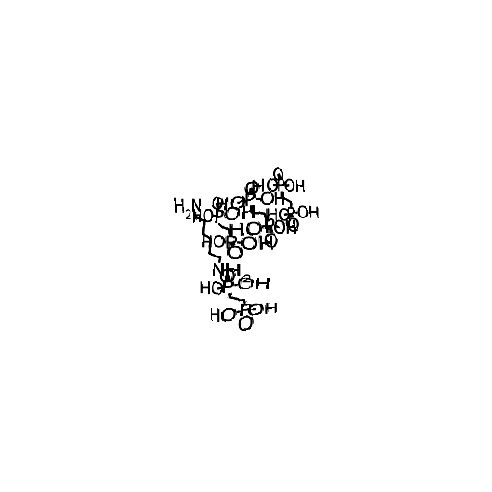 NCCCCCCN.O=P(O)(O)CCP(=O)(O)O.O=P(O)(O)CCP(=O)(O)O.O=P(O)(O)CCP(=O)(O)O.O=P(O)(O)CCP(=O)(O)O